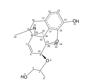 CC(CO)O[C@H]1C=CC2C3Cc4ccc(O)c5c4[C@@]2(CCN3C)[C@H]1O5